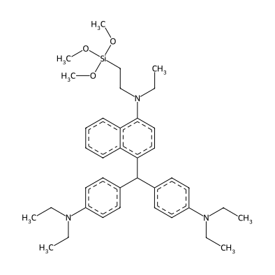 CCN(CC)c1ccc(C(c2ccc(N(CC)CC)cc2)c2ccc(N(CC)CC[Si](OC)(OC)OC)c3ccccc23)cc1